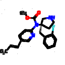 CC(C)(C)OC(=O)N(c1ccc(/C=C/C(=O)O)cn1)[C@]1(Cc2ccccc2F)CCNC1